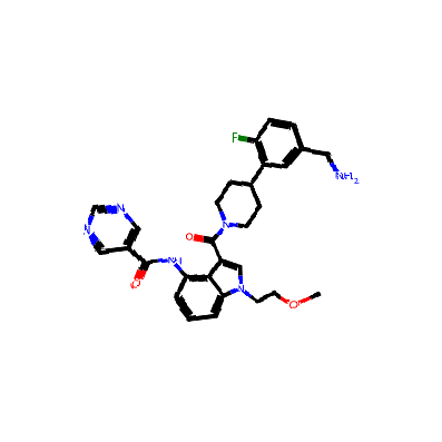 COCCn1cc(C(=O)N2CCC(c3cc(CN)ccc3F)CC2)c2c(NC(=O)c3cncnc3)cccc21